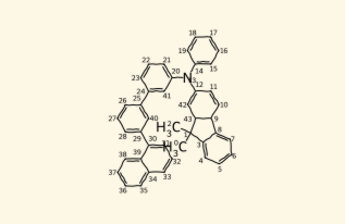 CC1(C)c2ccccc2C2C=CC(N(c3ccccc3)c3cccc(-c4cccc(-c5cccc6ccccc56)c4)c3)=CC21